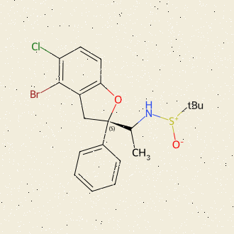 CC(N[S+]([O-])C(C)(C)C)[C@@]1(c2ccccc2)Cc2c(ccc(Cl)c2Br)O1